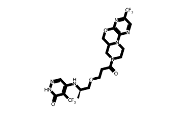 C[C@H](COCCC(=O)N1CCN2c3ncc(C(F)(F)F)nc3OCC2C1)Nc1cn[nH]c(=O)c1C(F)(F)F